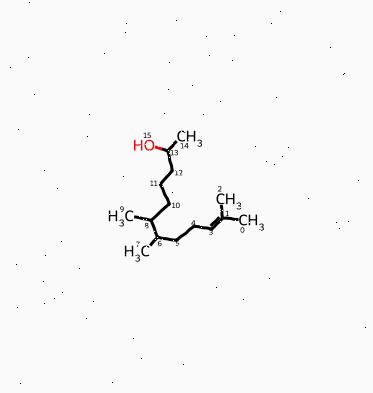 CC(C)=CCCC(C)C(C)CCCC(C)O